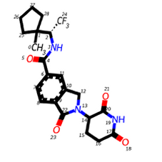 CC1([C@@H](NC(=O)c2ccc3c(c2)CN(C2CCC(=O)NC2=O)C3=O)C(F)(F)F)CCCC1